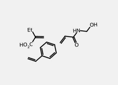 C=C(CC)C(=O)O.C=CC(=O)NCO.C=Cc1ccccc1